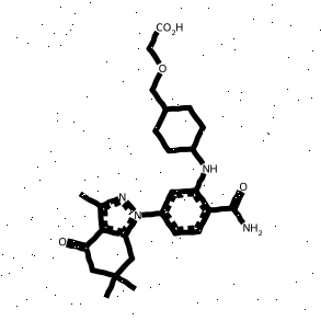 Cc1nn(-c2ccc(C(N)=O)c(NC3CCC(COCC(=O)O)CC3)c2)c2c1C(=O)CC(C)(C)C2